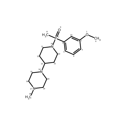 COc1cccc(P(C)(=O)N2CCC(N3CCN(C)CC3)CC2)c1